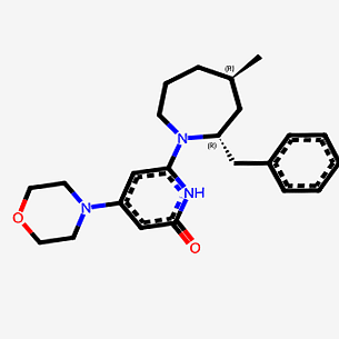 C[C@@H]1CCCN(c2cc(N3CCOCC3)cc(=O)[nH]2)[C@@H](Cc2ccccc2)C1